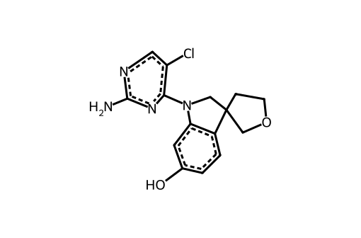 Nc1ncc(Cl)c(N2CC3(CCOC3)c3ccc(O)cc32)n1